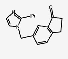 CC(C)c1nccn1Cc1ccc2c(c1)C(=O)CC2